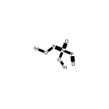 [2H]OP=S(=O)(O[2H])P=O